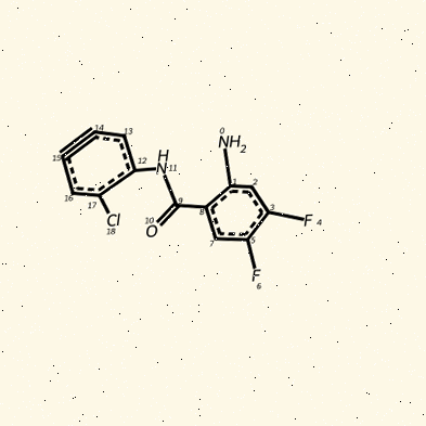 Nc1cc(F)c(F)cc1C(=O)Nc1cc#ccc1Cl